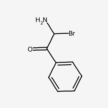 NC(Br)C(=O)c1ccccc1